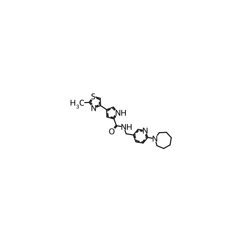 Cc1nc(-c2c[nH]c(C(=O)NCc3ccc(N4CCCCCC4)nc3)c2)cs1